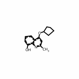 Cc1cc(OC2CCCC2)c2cccc(O)c2n1